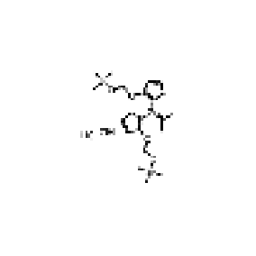 C[C](C)=[Zr]([C]1=C(OCO[Si](C)(C)C)C=CC1)[C]1=C(OCO[Si](C)(C)C)C=CC1.Cl.Cl